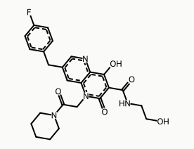 O=C(NCCO)c1c(O)c2ncc(Cc3ccc(F)cc3)cc2n(CC(=O)N2CCCCC2)c1=O